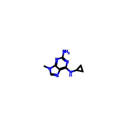 Cn1cnc2c(NC3CC3)nc(N)nc21